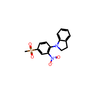 CS(=O)(=O)c1ccc(N2CCc3ccccc32)c([N+](=O)[O-])c1